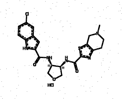 CN1CCc2nc(C(=O)N[C@H]3COC[C@H]3NC(=O)c3cc4cc(Cl)ccc4[nH]3)sc2C1.Cl